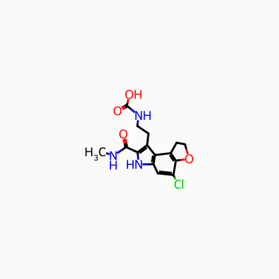 CNC(=O)c1[nH]c2cc(Cl)c3c(c2c1CCNC(=O)O)CCO3